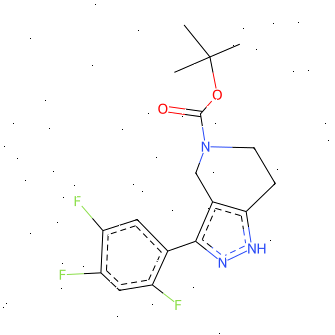 CC(C)(C)OC(=O)N1CCc2[nH]nc(-c3cc(F)c(F)cc3F)c2C1